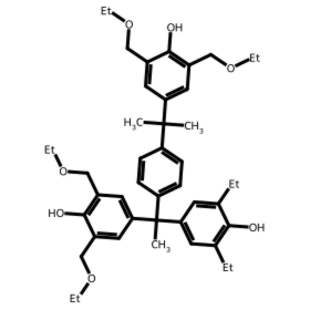 CCOCc1cc(C(C)(C)c2ccc(C(C)(c3cc(CC)c(O)c(CC)c3)c3cc(COCC)c(O)c(COCC)c3)cc2)cc(COCC)c1O